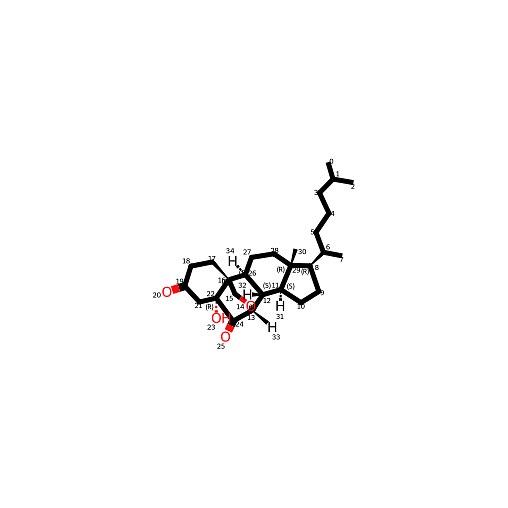 CC(C)CCCC(C)[C@H]1CC[C@H]2[C@@H]3[C@H]4OC[C@@]5(CCC(=O)C[C@]5(O)C4=O)[C@H]3CC[C@]12C